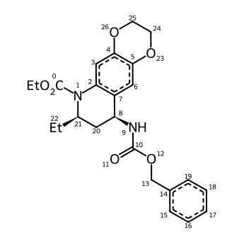 CCOC(=O)N1c2cc3c(cc2[C@@H](NC(=O)OCc2ccccc2)C[C@H]1CC)OCCO3